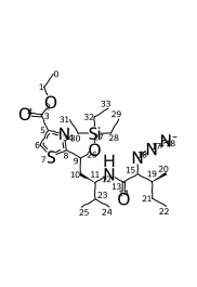 CCOC(=O)c1csc(C(C[C@@H](NC(=O)C(N=[N+]=[N-])[C@@H](C)CC)C(C)C)O[Si](CC)(CC)CC)n1